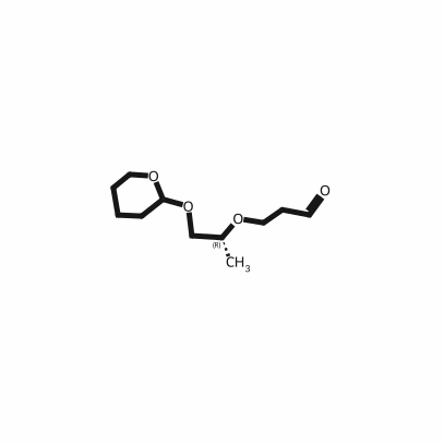 C[C@H](COC1CCCCO1)OCCC=O